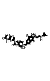 Cl.O=C1COc2ncc(N3CC4(CCN(CC5Cc6c(c(F)c7c(nnn7CCNC7CC7)c6F)C5)CC4)OC3=O)nc2N1